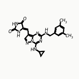 Cc1cc(C)cc(CNc2nc(NC3CC3)n3ncc(/C=C4\NC(=O)NC4=O)c3n2)c1